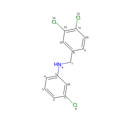 Clc1cccc(NCc2ccc(Cl)c(Cl)c2)c1